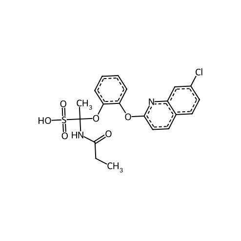 CCC(=O)NC(C)(Oc1ccccc1Oc1ccc2ccc(Cl)cc2n1)S(=O)(=O)O